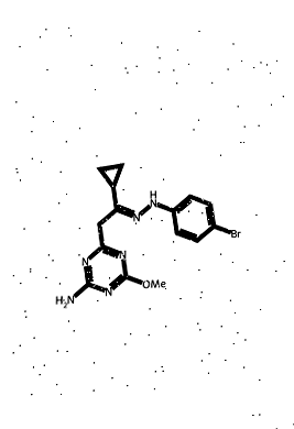 COc1nc(N)nc(CC(=NNc2ccc(Br)cc2)C2CC2)n1